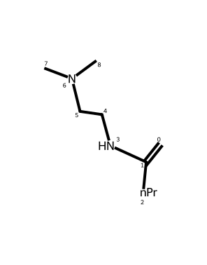 C=C(CCC)NCCN(C)C